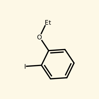 [CH2]COc1ccccc1I